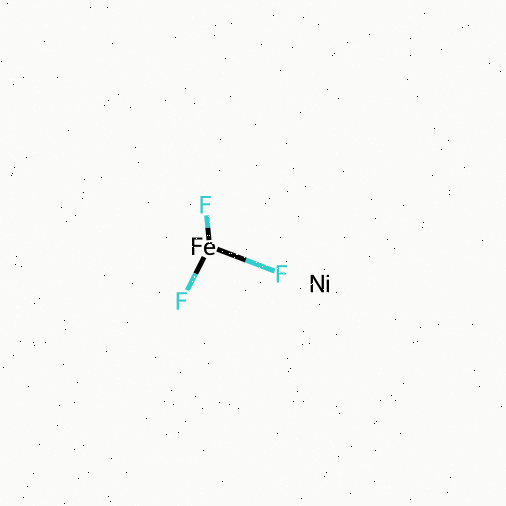 [F][Fe]([F])[F].[Ni]